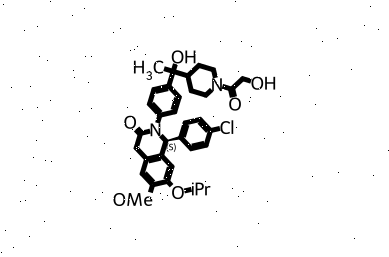 COc1cc2c(cc1OC(C)C)[C@H](c1ccc(Cl)cc1)N(c1ccc(C(C)(O)C3CCN(C(=O)CO)CC3)cc1)C(=O)C2